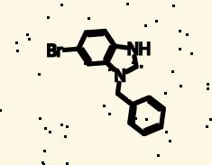 Brc1ccc2c(c1)N(Cc1ccccc1)[CH]N2